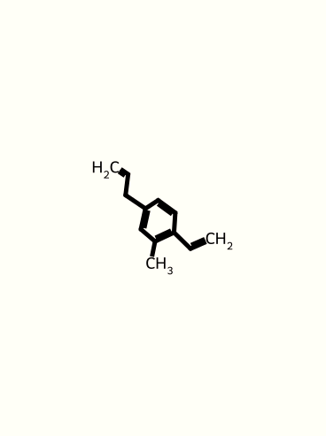 C=CCc1ccc(C=C)c(C)c1